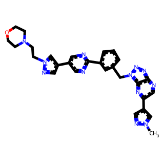 Cn1cc(-c2cnc3nnn(Cc4cccc(-c5ncc(-c6cnn(CCN7CCOCC7)c6)cn5)c4)c3n2)cn1